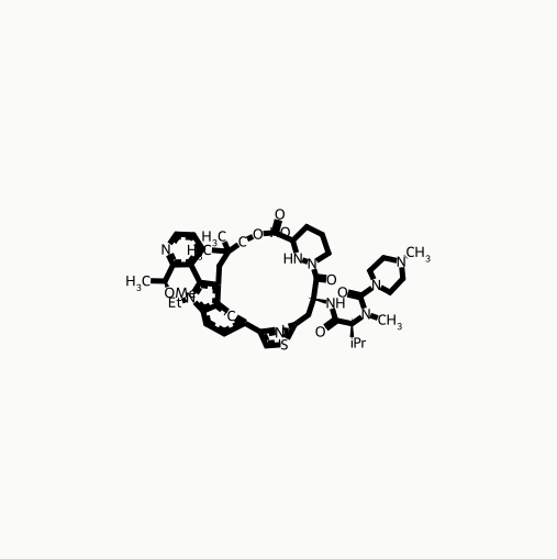 CCn1c(-c2cccnc2[C@H](C)OC)c2c3cc(ccc31)-c1csc(n1)C[C@H](NC(=O)[C@H](C(C)C)N(C)C(=O)N1CCN(C)CC1)C(=O)N1CCC[C@@](O)(N1)C(=O)OCC(C)(C)C2